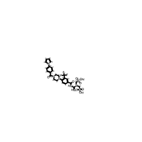 N=C(NC(=O)c1ccc(N2CCN(C(=O)c3ccc(-n4cccc4)cc3)CC2)c(C(F)(F)F)c1)N(CS(=O)(=O)O)CS(=O)(=O)O